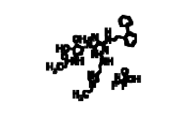 CCC(=O)N[C@H]1C[C@@H](n2cnc3c(NCCc4ccccc4-c4ccccc4)nc(NCCc4cn(CC)cn4)nc32)[C@H](O)[C@@H]1O.O=C(O)C(F)(F)F